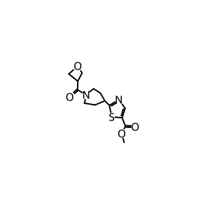 COC(=O)c1cnc(C2CCN(C(=O)C3COC3)CC2)s1